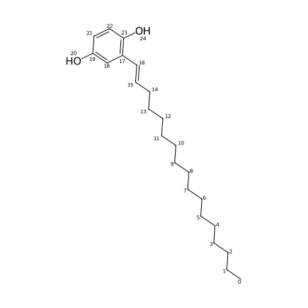 CCCCCCCCCCCCCCCC=Cc1cc(O)ccc1O